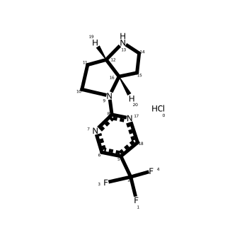 Cl.FC(F)(F)c1cnc(N2CC[C@@H]3NCC[C@@H]32)nc1